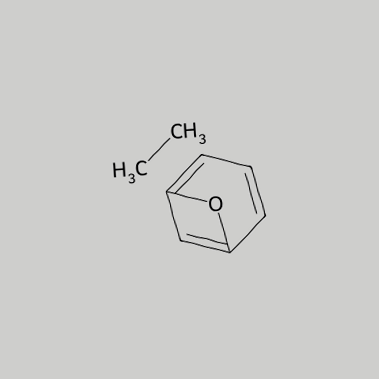 CC.c1cc2cc(c1)O2